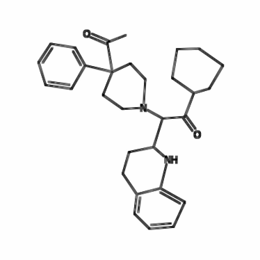 CC(=O)C1(c2ccccc2)CCN(C(C(=O)C2CCCCC2)C2CCc3ccccc3N2)CC1